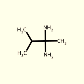 CC(C)C(C)(N)N